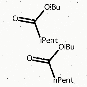 CCCC(C)C(=O)OCC(C)C.CCCCCC(=O)OCC(C)C